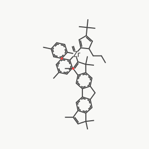 [CH2]=[Zr]([C]1=CC(C(C)(C)C)=CC1CCC)([C]1=C(C)c2cc3c(cc2C1(C)C)Cc1cc2c(cc1-3)C(C)=CC2(C)C)([c]1ccc(C)cc1)[c]1ccc(C)cc1